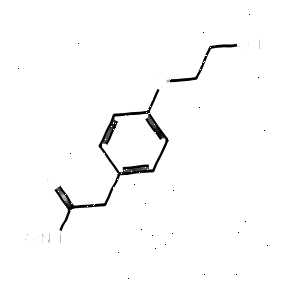 CC(=O)NC(=O)Cc1ccc(OCCO)cc1